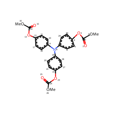 COC(=O)Oc1ccc(N(c2ccc(OC(=O)OC)cc2)c2ccc(OC(=O)OC)cc2)cc1